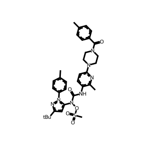 Cc1ccc(C(=O)N2CCN(c3ccc(NC(=O)N(OS(C)(=O)=O)c4cc(C(C)(C)C)nn4-c4ccc(C)cc4)c(C)n3)CC2)cc1